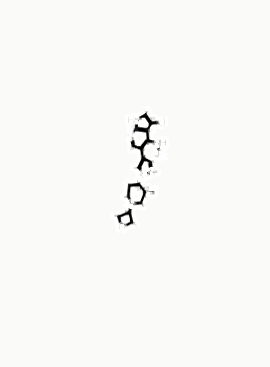 CCNc1c(-c2cnn([C@H]3CCN(C4COC4)C[C@@H]3F)c2)cnc2[nH]cc(Cl)c12